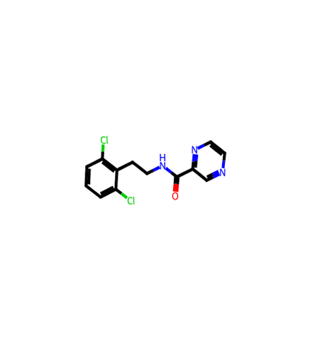 O=C(NCCc1c(Cl)cccc1Cl)c1cnccn1